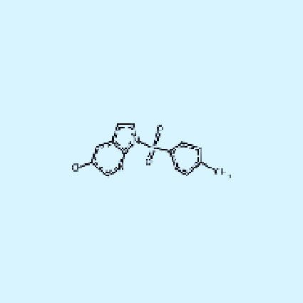 Cc1ccc(S(=O)(=O)n2ccc3cc(Cl)cnc32)cc1